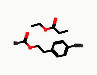 CCC(=O)OCCc1ccc(OC)cc1.CCOC(=O)CC